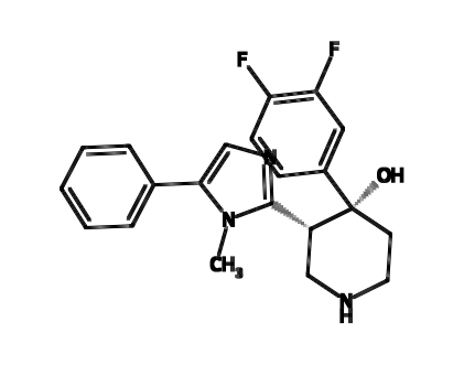 Cn1c(-c2ccccc2)cnc1[C@H]1CNCC[C@]1(O)c1ccc(F)c(F)c1